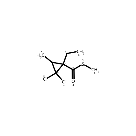 CCC1(C(=O)SC)C(C)C1(Cl)Cl